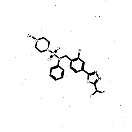 CC(=O)N1CCN(S(=O)(=O)N(Cc2ccc(-c3nnc(C(F)F)o3)cc2F)c2ccccc2)CC1